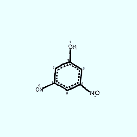 O=Nc1cc(O)cc(N=O)c1